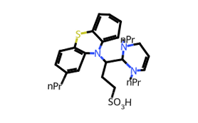 CCCc1ccc2c(c1)N(C(CCS(=O)(=O)O)C1N(CCC)C=CCN1CCC)c1ccccc1S2